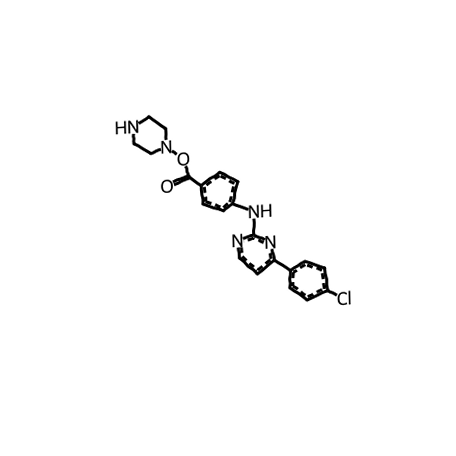 O=C(ON1CCNCC1)c1ccc(Nc2nccc(-c3ccc(Cl)cc3)n2)cc1